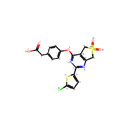 O=C(O)Cc1ccc(Oc2nc(-c3ccc(Cl)s3)nc3c2CS(=O)(=O)C3)cc1